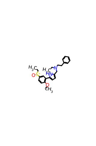 CCN(CCc1ccccc1)Cc1ccc(-c2cc([S+]([O-])CC)ccc2OC)[nH]1